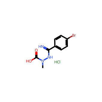 CN(NC(=N)c1ccc(Br)cc1)C(=O)O.Cl